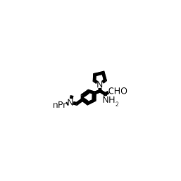 CCCN(C)Cc1ccc(C(C(N)C=O)N2CCCC2)cc1